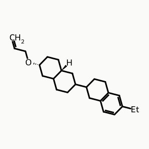 C=CCO[C@@H]1CC[C@@H]2CC(C3CCc4cc(CC)ccc4C3)CCC2C1